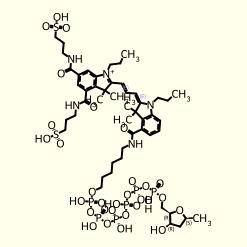 CCCN1/C(=C/C=C/C2=[N+](CCC)c3cc(C(=O)NCCCS(=O)(=O)O)cc(C(=O)NCCCS(=O)(=O)O)c3C2(C)C)C(C)(C)c2c(C(=O)NCCCCCCOP(=O)(O)OP(=O)(O)OP(=O)(O)OP(=O)(O)OP(=O)(O)OP(=O)(O)OC[C@H]3O[C@@H](C)C[C@H]3O)cccc21